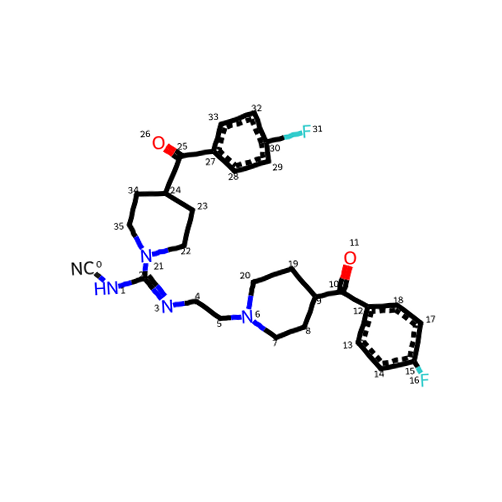 N#CN/C(=N/CCN1CCC(C(=O)c2ccc(F)cc2)CC1)N1CCC(C(=O)c2ccc(F)cc2)CC1